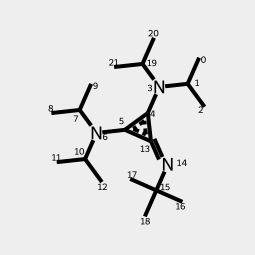 CC(C)N(c1c(N(C(C)C)C(C)C)c1=NC(C)(C)C)C(C)C